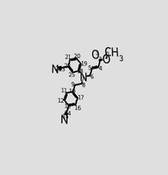 COC(=O)C=CCN(CCc1ccc(C#N)cc1)c1cccc(C#N)c1